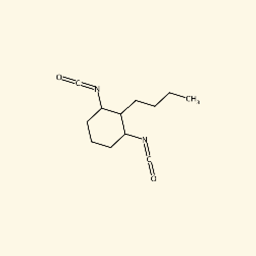 CCCCC1C(N=C=O)CCCC1N=C=O